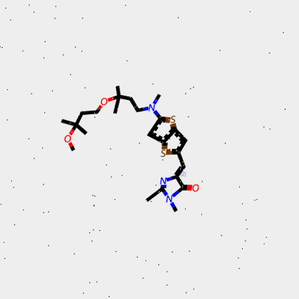 COC(C)(C)CCOC(C)(C)CCN(C)c1cc2sc(/C=C3\N=C(C)N(C)C3=O)cc2s1